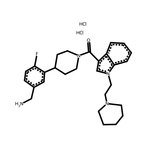 Cl.Cl.NCc1ccc(F)c(C2CCN(C(=O)c3cn(CCN4CCCCC4)c4ccccc34)CC2)c1